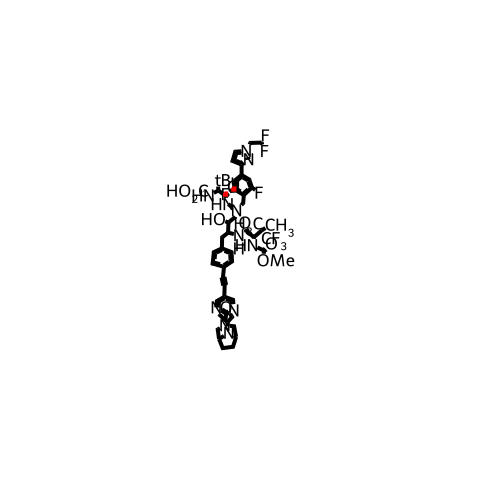 COC(=O)NC(C(=O)NC(Cc1ccc(C#Cc2cnc(N3CC4CCC(C3)N4C3COC3)nc2)cc1)C(O)CN(Cc1c(F)cc(-c2ccn(CC(F)F)n2)cc1F)NC(=O)C(NC(=O)O)C(C)(C)C)C(C)(C)C(F)(F)F